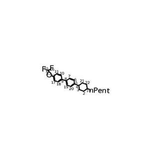 CCCCCC1CCC(c2ccc(-c3ccc(OC(F)F)cc3)cc2)CC1